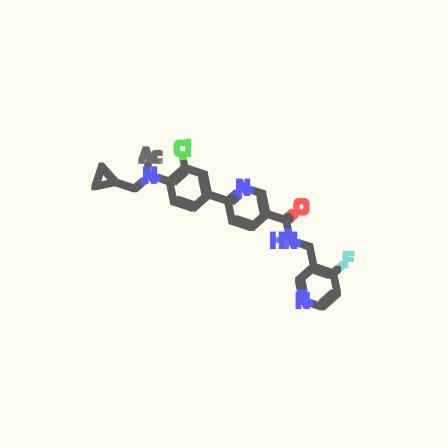 CC(=O)N(CC1CC1)c1ccc(-c2ccc(C(=O)NCc3cnccc3F)cn2)cc1Cl